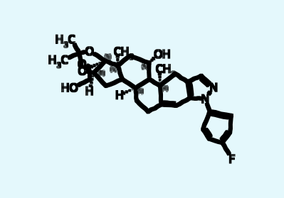 CC1(C)O[C@@H]2CC3[C@@H]4CCC5=Cc6c(cnn6-c6ccc(F)cc6)C[C@]5(C)C4[C@@H](O)C[C@]3(C)[C@]2(C(=O)CO)O1